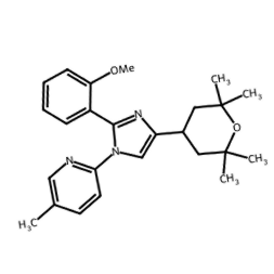 COc1ccccc1-c1nc(C2CC(C)(C)OC(C)(C)C2)cn1-c1ccc(C)cn1